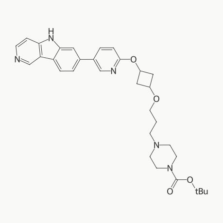 CC(C)(C)OC(=O)N1CCN(CCCOC2CC(Oc3ccc(-c4ccc5c(c4)[nH]c4ccncc45)cn3)C2)CC1